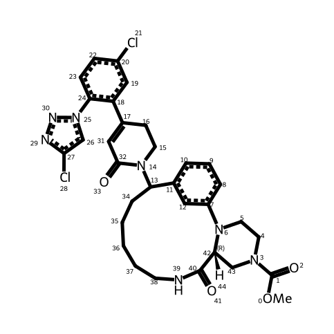 COC(=O)N1CCN2c3cccc(c3)C(N3CCC(c4cc(Cl)ccc4-n4cc(Cl)nn4)=CC3=O)CCCCCNC(=O)[C@H]2C1